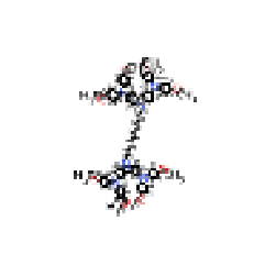 COc1ccc(N(c2ccc(OC)cc2)c2ccc3c(c2)c2cc(N(c4ccc(OC)cc4)c4ccc(OC)cc4)ccc2n3CCCCCCCCCCCCn2c3ccc(N(c4ccc(OC)cc4)c4ccc(OC)cc4)cc3c3cc(N(c4ccc(OC)cc4)c4ccc(OC)cc4)ccc32)cc1